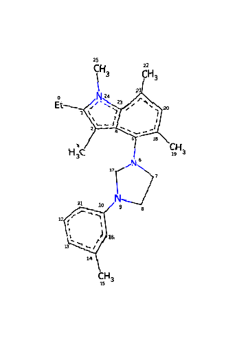 CCc1c(C)c2c(N3CCN(c4cccc(C)c4)C3)c(C)cc(C)c2n1C